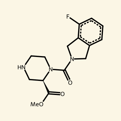 COC(=O)[C@H]1CNCCN1C(=O)N1Cc2cccc(F)c2C1